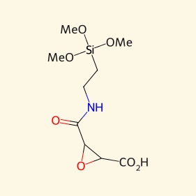 CO[Si](CCNC(=O)C1OC1C(=O)O)(OC)OC